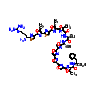 CC[C@H](C)[C@H](NC(=O)c1nc(-c2nc(-c3csc(-c4nc(-c5csc(C(N)CCCN=C(N)N)n5)oc4C)n3)oc2C)oc1C)C(=O)N[C@H](c1nc(-c2nc(-c3nc(-c4nc(C5=NC(C(=O)N[C@@H](Cc6ccccc6)C(=O)O)C(C)O5)co4)co3)co2)co1)[C@@H](C)CC